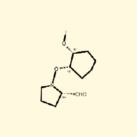 O=C[C@@H]1CCCN1O[C@H]1CCCC[C@H]1OI